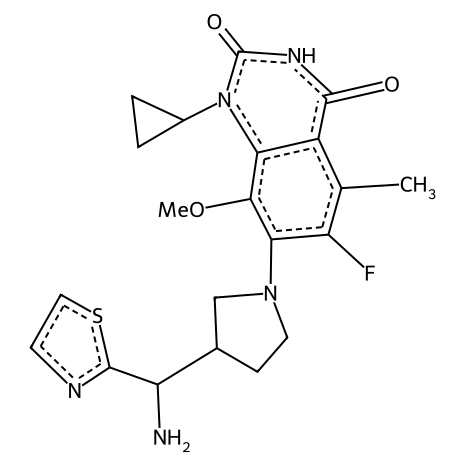 COc1c(N2CCC(C(N)c3nccs3)C2)c(F)c(C)c2c(=O)[nH]c(=O)n(C3CC3)c12